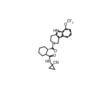 N#CC1(NC(=O)C2CCCC[C@H]2C(=O)N2CCc3[nH]c4c(OC(F)(F)F)cccc4c3C2)CC1